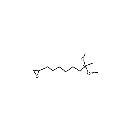 CO[Si](C)(CCCCCCC1CO1)OC